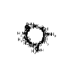 CC(C)C[C@@H]1NC(=O)[C@H](CC(N)=O)NC(=O)[C@H](Cc2ccc(O)cc2)NC(=O)CNC(=O)[C@@H](N)CSSCC(C(=O)O)NC(=O)[C@H](CCCCN)NC(=O)CNC(=O)[C@H](C)NC(=O)[C@H](CCCNC(=N)N)NC(=O)[C@H](CO)NC(=O)[C@H](CO)NC1=O